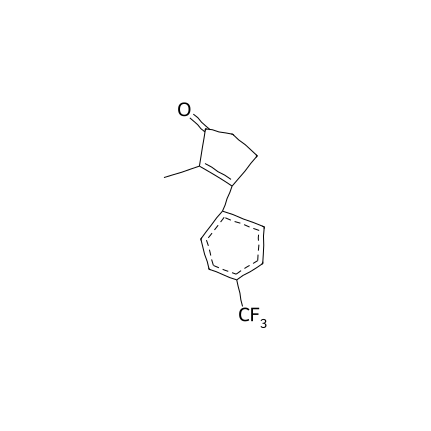 CC1=C(c2ccc(C(F)(F)F)cc2)CCC1=O